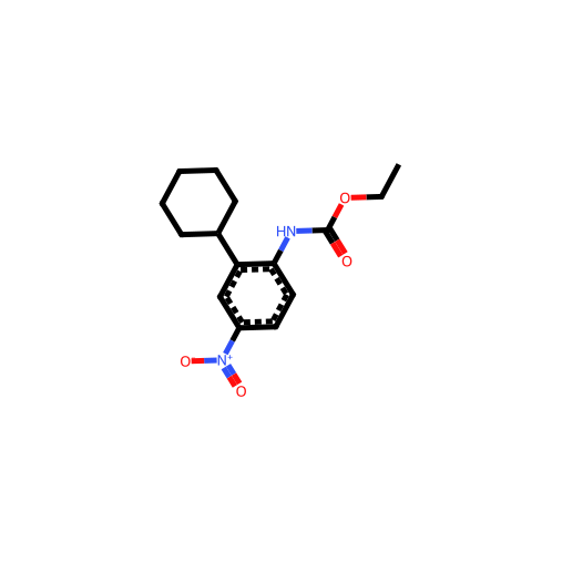 CCOC(=O)Nc1ccc([N+](=O)[O-])cc1C1CCCCC1